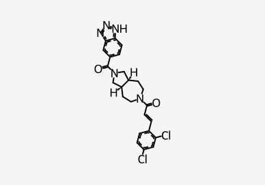 O=C(/C=C/c1ccc(Cl)cc1Cl)N1CC[C@@H]2CN(C(=O)c3ccc4[nH]nnc4c3)C[C@@H]2CC1